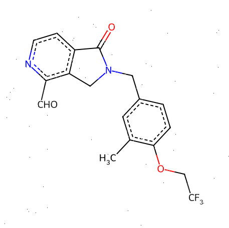 Cc1cc(CN2Cc3c(ccnc3C=O)C2=O)ccc1OCC(F)(F)F